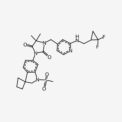 CC1(C)C(=O)N(c2ccc3c(c2)N(S(C)(=O)=O)CC32CCC2)C(=O)N1Cc1ccnc(NCC2CC2(F)F)c1